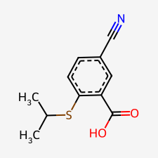 CC(C)Sc1ccc(C#N)cc1C(=O)O